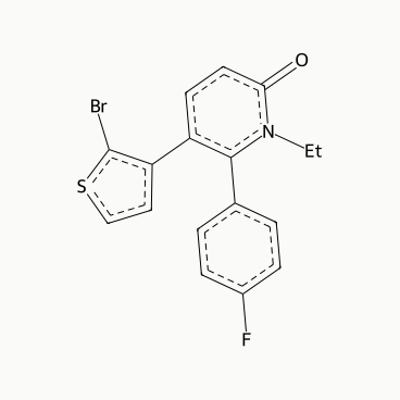 CCn1c(-c2ccc(F)cc2)c(-c2ccsc2Br)ccc1=O